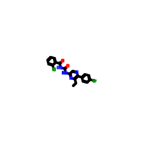 CCc1nc(NC(=O)NC(=O)c2ccccc2Cl)cnc1-c1ccc(Br)cc1